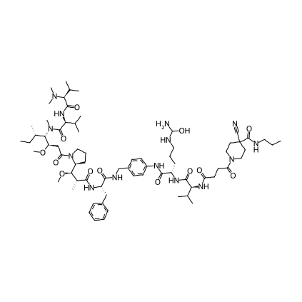 CCCNC(=O)C1(C#N)CCN(C(=O)CCC(=O)N[C@H](C(=O)N[C@@H](CCCNC(N)O)C(=O)Nc2ccc(CNC(=O)[C@H](Cc3ccccc3)NC(=O)[C@H](C)[C@@H](OC)[C@@H]3CCCN3C(=O)C[C@@H](OC)[C@H]([C@@H](C)CC)N(C)C(=O)[C@@H](NC(=O)[C@H](C(C)C)N(C)C)C(C)C)cc2)C(C)C)CC1